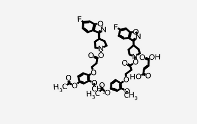 COc1cc(OC(C)=O)ccc1OCCC(=O)ON1CCC(c2noc3cc(F)ccc23)CC1.COc1cc(OC(C)=O)ccc1OCCC(=O)ON1CCC(c2noc3cc(F)ccc23)CC1.O=C(O)/C=C/C(=O)O